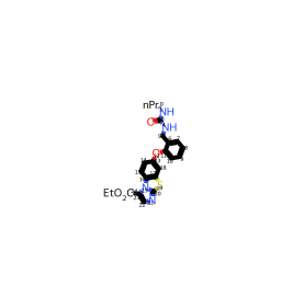 CCCNC(=O)NCc1ccccc1Oc1ccc2c(c1)sc1ncc(C(=O)OCC)n12